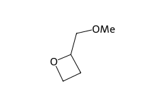 [CH2]OCC1CCO1